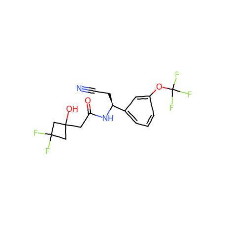 N#CC[C@H](NC(=O)CC1(O)CC(F)(F)C1)c1cccc(OC(F)(F)F)c1